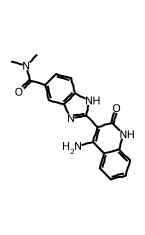 CN(C)C(=O)c1ccc2[nH]c(-c3c(N)c4ccccc4[nH]c3=O)nc2c1